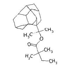 CCC(C)(C)C(=O)OC(C)(C)C12CC3CC4C5CC(CC41)CC2C5C3